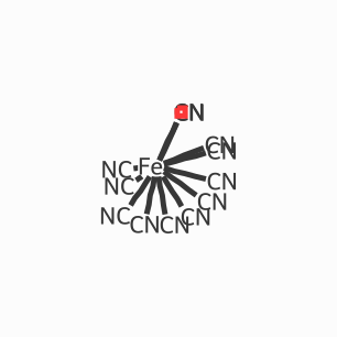 N#[C][Fe]([C]#N)([C]#N)([C]#N)([C]#N)([C]#N)([C]#N)([C]#N)([C]#N)([C]#N)([C]#N)[C]#N